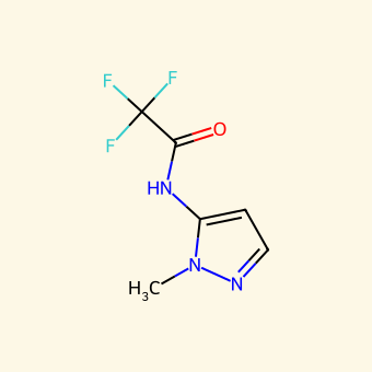 Cn1nccc1NC(=O)C(F)(F)F